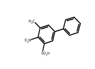 Cc1cc(-c2ccccc2)cc(S(=O)(=O)O)c1[N+](=O)[O-]